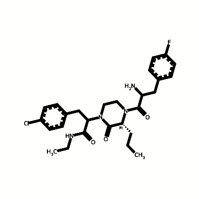 CCC[C@@H]1C(=O)N(C(Cc2ccc(Cl)cc2)C(=O)NCC)CCN1C(=O)C(N)Cc1ccc(F)cc1